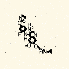 COc1cc2c(Nc3ccc(Oc4nccs4)cc3F)c(N)cnc2cc1OCCCNC1CC1